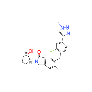 Cc1cc2c(cc1Cc1ccc(-c3cn(C)nn3)cc1F)C(=O)N([C@@H]1CCC[C@H]1O)C2